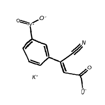 N#CC(=CC(=O)[O-])c1cccc([N+](=O)[O-])c1.[K+]